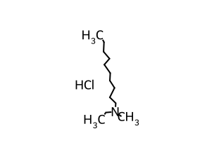 CCCCCCCCCCN(C)CC.Cl